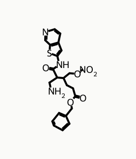 NCC(C(=O)Nc1cc2ccncc2s1)C(CCC(=O)OCc1ccccc1)CO[N+](=O)[O-]